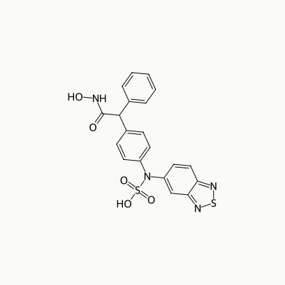 O=C(NO)C(c1ccccc1)c1ccc(N(c2ccc3nsnc3c2)S(=O)(=O)O)cc1